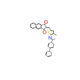 C/C(=N\c1sc(C=C2C(=O)c3cc4ccccc4cc3C2=O)cc1C)C1C=CC(C2C=CC=CC2)=CC1